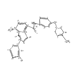 CN1CCC(Oc2ccc(NC(=O)c3cnc(N)c4cc(-c5cccc(F)c5)ccc34)cc2)CC1